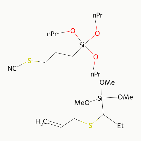 C=CCSC(CC)[Si](OC)(OC)OC.CCCO[Si](CCCSC#N)(OCCC)OCCC